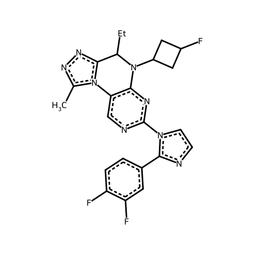 CCC1c2nnc(C)n2-c2cnc(-n3ccnc3-c3ccc(F)c(F)c3)nc2N1C1CC(F)C1